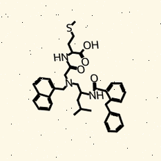 CSCCC(NC(=O)CN(Cc1cccc2ccccc12)CC(CC(C)C)NC(=O)c1ccccc1Cc1ccccc1)C(=O)O